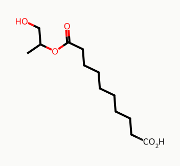 CC(CO)OC(=O)CCCCCCCCC(=O)O